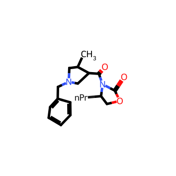 CCCC1COC(=O)N1C(=O)C1CN(Cc2ccccc2)CC1C